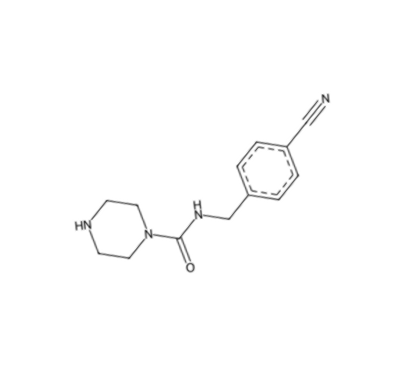 N#Cc1ccc(CNC(=O)N2CCNCC2)cc1